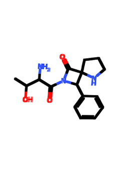 CC(O)C(N)C(=O)N1C(=O)C2(CCCN2)C1c1ccccc1